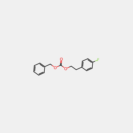 O=C(OCCc1ccc(F)cc1)OCc1ccccc1